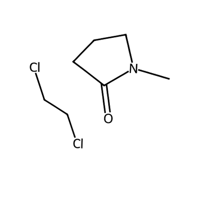 CN1CCCC1=O.ClCCCl